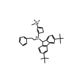 CC(C)(C)c1ccc2c(c1)-c1cc(C(C)(C)C)ccc1[CH]2[Zr](=[CH]Cc1ccccc1)[C]1=CC([Si](C)(C)C)=CC1